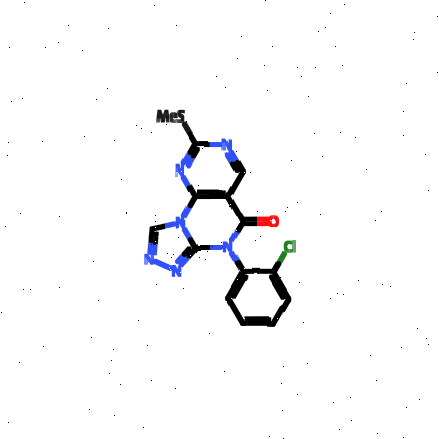 CSc1ncc2c(=O)n(-c3ccccc3Cl)c3nncn3c2n1